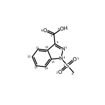 CS(=O)(=O)n1nc(C(=O)O)c2ccccc21